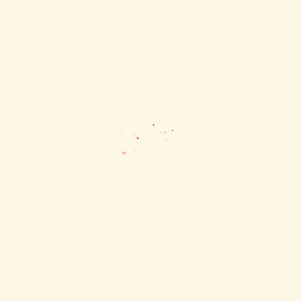 COc1cccc(C(=O)N[C@H]2C[C@H]3CC[C@@H](C2)N3c2ccc(C(=O)NCc3c(F)ccc(C)c3Cl)cn2)c1C